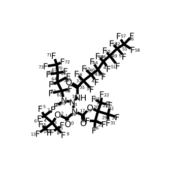 O=C(OC(C(F)(F)F)(C(F)(F)F)C(F)(F)F)N(C(=O)OC(C(F)(F)F)(C(F)(F)F)C(F)(F)F)N(NC(=O)C(F)(F)C(F)(F)C(F)(F)C(F)(F)C(F)(F)C(F)(F)C(F)(F)F)N(F)C(F)(F)C(F)(F)C(F)(F)C(F)(F)F